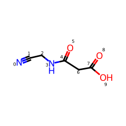 N#CCNC(=O)CC(=O)O